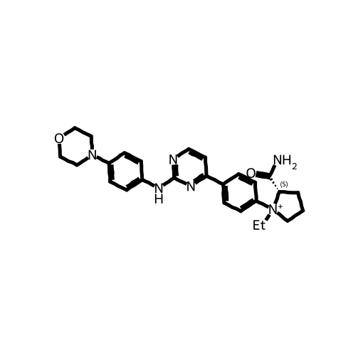 CC[N+]1(c2ccc(-c3ccnc(Nc4ccc(N5CCOCC5)cc4)n3)cc2)CCC[C@H]1C(N)=O